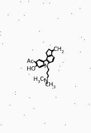 C=C1CCc2c1ccc1c2c2cc(C(C)=O)c(O)cc2n1CCCN(C)C